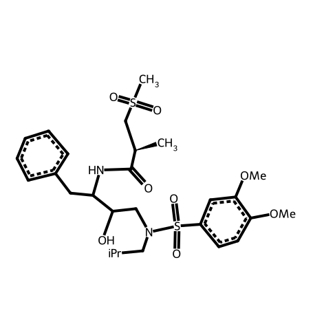 COc1ccc(S(=O)(=O)N(CC(C)C)CC(O)C(Cc2ccccc2)NC(=O)[C@H](C)CS(C)(=O)=O)cc1OC